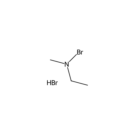 Br.CCN(C)Br